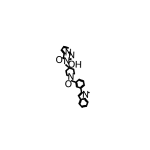 Cn1c(-c2cccc(C(=O)N3CCC(O)(Cn4cnn5cccc5c4=O)CC3)c2)cc2ccccc21